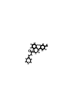 O=C(CCN1CCSCC1)N1CCN(c2ccc(F)cc2)c2ccccc21